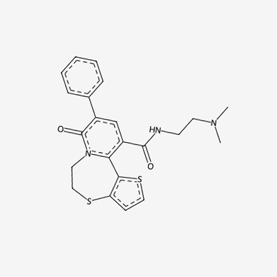 CN(C)CCNC(=O)c1cc(-c2ccccc2)c(=O)n2c1-c1sccc1SCC2